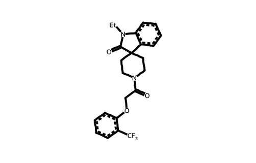 CCN1C(=O)C2(CCN(C(=O)COc3ccccc3C(F)(F)F)CC2)c2ccccc21